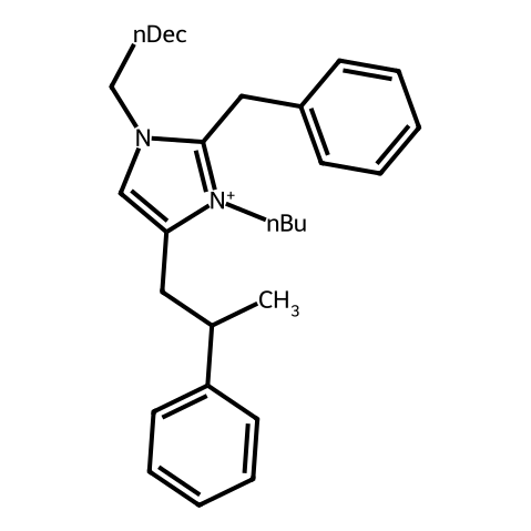 CCCCCCCCCCCn1cc(CC(C)c2ccccc2)[n+](CCCC)c1Cc1ccccc1